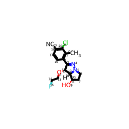 Cc1c(C2=NN3CC[C@@H](O)[C@H]3[C@@H]2OCCF)ccc(C#N)c1Cl